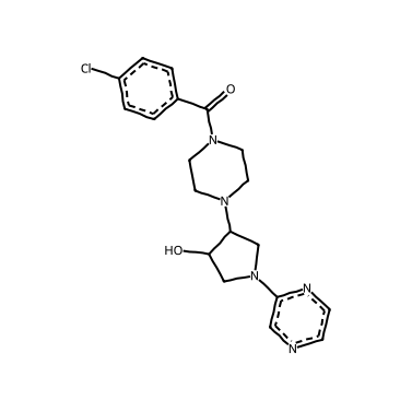 O=C(c1ccc(Cl)cc1)N1CCN(C2CN(c3cnccn3)CC2O)CC1